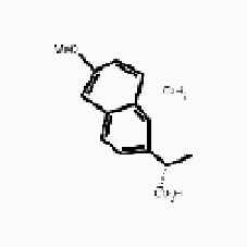 COc1ccc2cc([C@H](C)C(=O)O)ccc2c1.[CaH2]